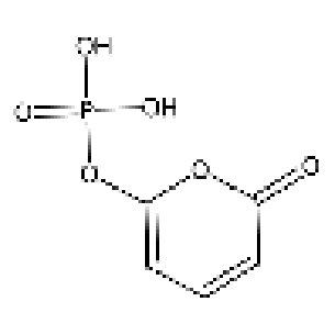 O=c1cccc(OP(=O)(O)O)o1